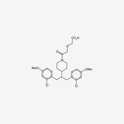 COc1ccc(CC(Cc2ccc(OC)cc2Cl)C2CCN(C(=O)COCC(=O)O)CC2)c(Cl)c1